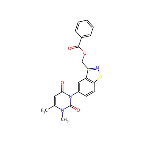 Cn1c(C(F)(F)F)cc(=O)n(-c2ccc3snc(COC(=O)c4ccccc4)c3c2)c1=O